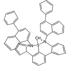 CS1(Nc2ccc(-c3ccccc3)c3ccccc23)c2c(cccc2C2C=CC=C2)-c2ccccc2N1c1ccc(-c2ccccc2)c2ccccc12